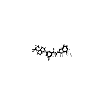 CC(=O)N1CCC2C1CCN2c1cc(F)cc(NC(=O)C2Cc3c(F)ccc(C)c3N2)c1